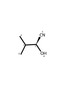 CC(C)[C@H](O)C#N